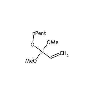 C=C[Si](OC)(OC)OCCCCC